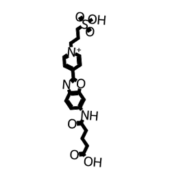 O=C(O)CCCC(=O)Nc1ccc2nc(-c3cc[n+](CCCS(=O)(=O)O)cc3)oc2c1